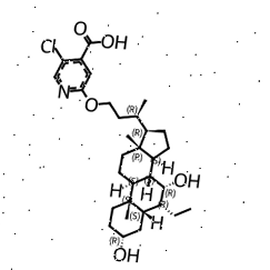 CC[C@H]1[C@@H](O)[C@@H]2[C@H](CC[C@]3(C)[C@@H]([C@H](C)CCOc4cc(C(=O)O)c(Cl)cn4)CC[C@@H]23)[C@@]2(C)CC[C@@H](O)C[C@@H]12